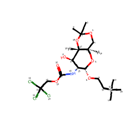 CC1(C)OC[C@H]2O[C@H](OCC[Si](C)(C)C)[C@H](NC(=O)OCC(Cl)(Cl)Cl)[C@@H](O)[C@@H]2O1